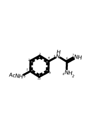 CC(=O)Nc1ccc(NC(=N)N)cc1